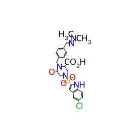 CN(C)N=Cc1ccc(CN2C(=O)CN(S(=O)(=O)c3cc4cc(Cl)ccc4[nH]3)C[C@@H]2C(=O)O)cc1